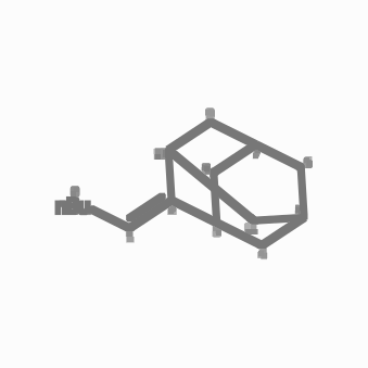 CCCCC=C1C2CC3CC(C2)CC1C3